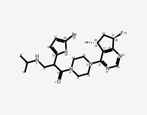 CC(C)NCC(C(=O)N1CCN(c2ncnc3c2[C@H](C)C[C@H]3F)CC1)c1ccc(Br)s1